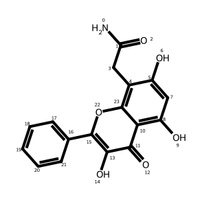 NC(=O)Cc1c(O)cc(O)c2c(=O)c(O)c(-c3ccccc3)oc12